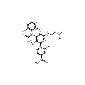 Cc1cc(C(N)=O)ccc1-c1nc(NCCN(C)C)nc2c1CNC(=O)N2c1c(F)cccc1F